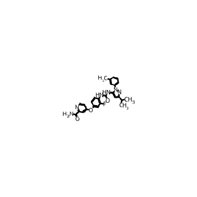 Cc1cccc(-n2nc(C(C)C)cc2NC(=O)Nc2ccc(Oc3ccnc(C(N)=O)c3)cc2F)c1